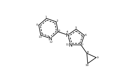 c1ccc(-n2ccc(C3CC3)n2)nc1